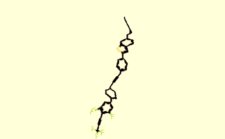 CCCc1ccc2cc(-c3ccc(C#CC4CC=C(c5cc(F)c(C#CC(F)(F)F)c(F)c5)CC4)cc3)sc2c1